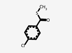 CSC(=O)c1ccc(Cl)cc1